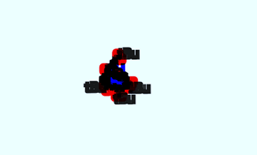 CC(C)(C)OC(=O)[CH]CCCCNC(=O)[C@H](Cc1ccccc1)NC(=O)COc1ccc(C[C@H](NC(=O)[C@H](CCC(=O)OC(C)(C)C)NC(=O)[C@@H](N)CCC(=O)OC(C)(C)C)C(=O)OC(C)(C)C)cc1